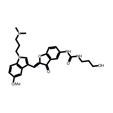 COc1ccc2c(c1)c(/C=C1\Oc3ccc(NC(=O)NCCCO)cc3C1=O)cn2CCCN(C)C